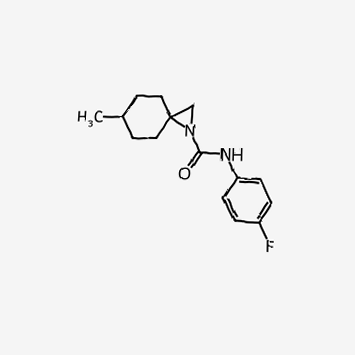 CC1CCC2(CC1)CN2C(=O)Nc1ccc(F)cc1